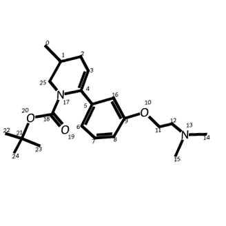 CC1CC=C(c2cccc(OCCN(C)C)c2)N(C(=O)OC(C)(C)C)C1